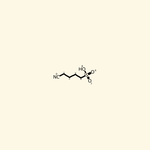 N#CCCCCS(=O)(=O)O